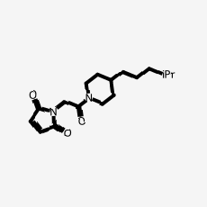 CC(C)CCCC1CCN(C(=O)CN2C(=O)C=CC2=O)CC1